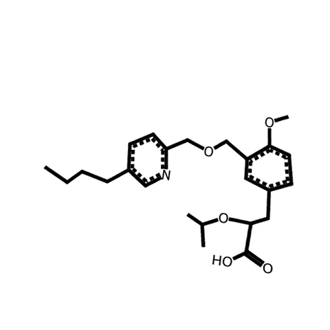 CCCCc1ccc(COCc2cc(CC(OC(C)C)C(=O)O)ccc2OC)nc1